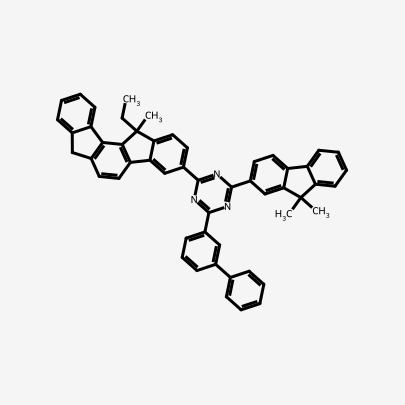 CCC1(C)c2ccc(-c3nc(-c4cccc(-c5ccccc5)c4)nc(-c4ccc5c(c4)C(C)(C)c4ccccc4-5)n3)cc2-c2ccc3c(c21)-c1ccccc1C3